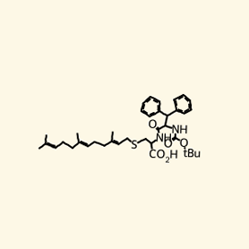 CC(C)=CCC/C(C)=C/CC/C(C)=C/CSCC(NC(=O)C(NC(=O)OC(C)(C)C)C(c1ccccc1)c1ccccc1)C(=O)O